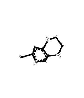 [CH2]c1cc2c(cn1)OCCO2